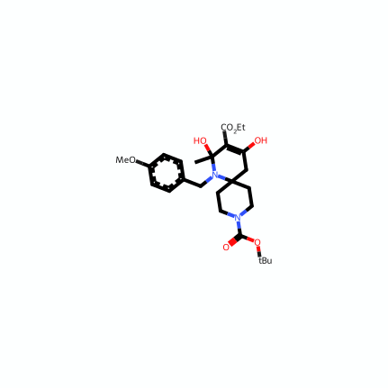 CCOC(=O)C1=C(O)CC2(CCN(C(=O)OC(C)(C)C)CC2)N(Cc2ccc(OC)cc2)C1(C)O